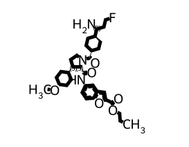 CCCOC(=O)c1cc2cc(NC(=O)[C@@H]3[C@H](C4CCC(OC)CC4)CCN3C(=O)[C@H]3CC[C@H]([C@H](N)CCF)CC3)ccc2o1